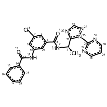 C[C@@H](NC(=O)c1cc(Cl)cc(NC(=O)c2ccccc2)c1)c1ncnn1-c1ncccn1